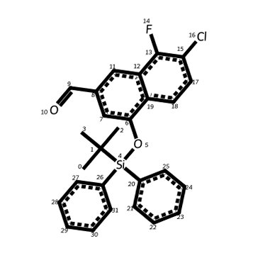 CC(C)(C)[Si](Oc1cc(C=O)cc2c(F)c(Cl)ccc12)(c1ccccc1)c1ccccc1